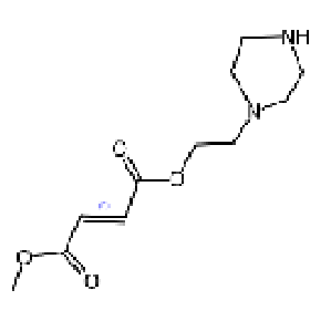 COC(=O)/C=C/C(=O)OCCN1CCNCC1